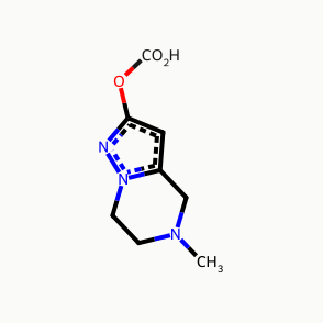 CN1CCn2nc(OC(=O)O)cc2C1